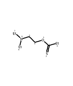 CCC(=S)OCCN(CC)CC